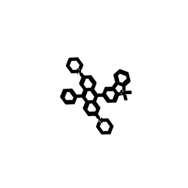 C[Si]1(C)c2ccccc2-c2cc(-c3c4ccc(N5CCCCC5)cc4c(-c4ccccc4)c4ccc(N5CCCCC5)cc34)ccc21